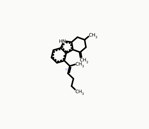 C=C1CC(C)Cc2[nH]c3cccc(/C(C)=C/CCC)c3c21